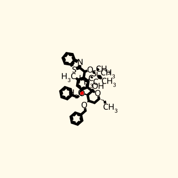 CC[C@@H]1C[C@H](OCc2ccccc2)[C@@H](OCc2ccccc2)C(O)(c2cc(C(O[Si](C)(C)C(C)(C)C)c3nc4ccccc4s3)c(C)cc2C)O1